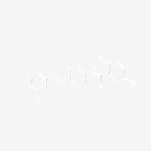 N#Cc1cccc(NCC2CCC(NC(=O)c3cc(C(F)(F)F)ccc3Cl)CC2)c1